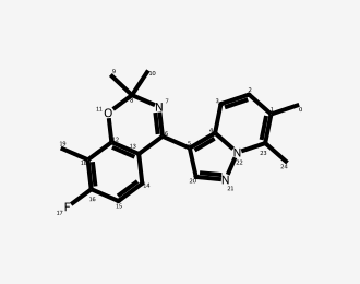 Cc1ccc2c(C3=NC(C)(C)Oc4c3ccc(F)c4C)cnn2c1C